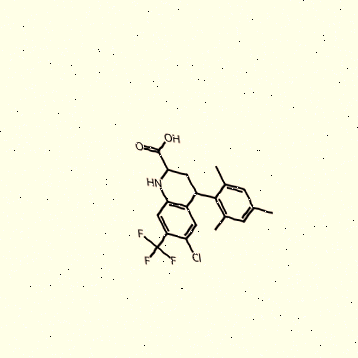 Cc1cc(C)c(C2CC(C(=O)O)Nc3cc(C(F)(F)F)c(Cl)cc32)c(C)c1